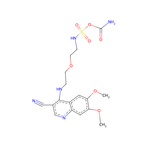 COc1cc2ncc(C#N)c(NCCOCCNS(=O)(=O)OC(N)=O)c2cc1OC